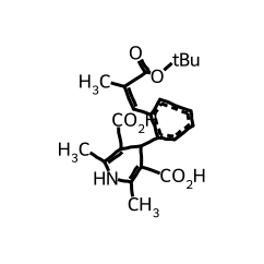 CC(=Cc1ccccc1C1C(C(=O)O)=C(C)NC(C)=C1C(=O)O)C(=O)OC(C)(C)C